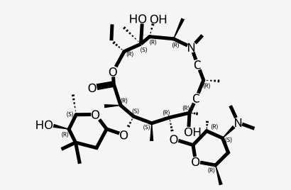 CC[C@H]1OC(=O)[C@H](C)[C@@H](OC2CC(C)(C)[C@@H](O)[C@H](C)O2)[C@H](C)[C@@H](OC2O[C@H](C)C[C@H](N(C)C)[C@H]2C)[C@](C)(O)C[C@@H](C)CN(C)[C@H](C)[C@@H](O)[C@]1(C)O